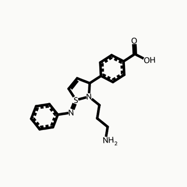 NCCCN1C(c2ccc(C(=O)O)cc2)C=CS1=Nc1ccccc1